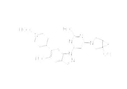 Cc1nc(N2CC3CC3(O)C2)cc(-n2ncc3cc(C)c(C4CCN(C(=O)O)CC4)cc32)n1